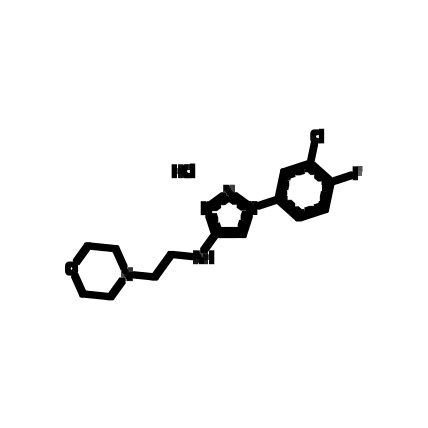 Cl.Fc1ccc(-n2cc(NCCN3CCOCC3)nn2)cc1Cl